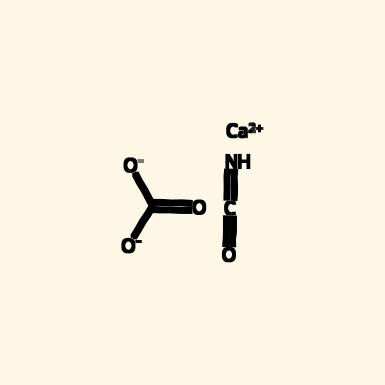 N=C=O.O=C([O-])[O-].[Ca+2]